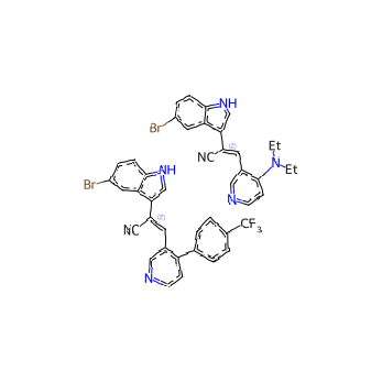 CCN(CC)c1ccncc1/C=C(\C#N)c1c[nH]c2ccc(Br)cc12.N#C/C(=C\c1cnccc1-c1ccc(C(F)(F)F)cc1)c1c[nH]c2ccc(Br)cc12